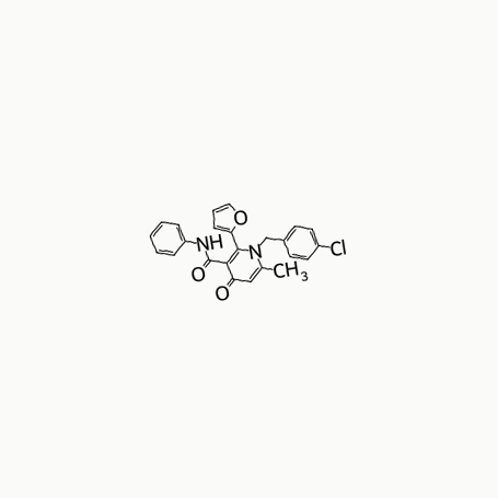 Cc1cc(=O)c(C(=O)Nc2ccccc2)c(-c2ccco2)n1Cc1ccc(Cl)cc1